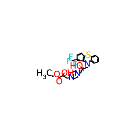 CCOC(=O)C(O)CN1CCN(C[C@H](O)CN2c3ccccc3Sc3ccc(C(F)(F)F)cc32)CC1